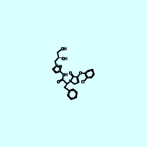 O=C(Nc1ccn(C[C@@H](O)CO)n1)[C@H](Cc1ccccc1)N1CC=C(Oc2ccccc2Cl)C1=O